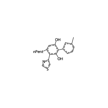 CCCCCc1cc(O)c(-c2cccc(C)c2)c(O)c1-c1cscn1